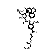 CNCC(=O)OCCOC(=O)c1ccc(NC(=O)[C@@H]2N[C@@H](CC(C)(C)C)[C@](C#N)(c3ccc(Cl)cc3F)[C@H]2c2cccc(Cl)c2F)c(OC)c1